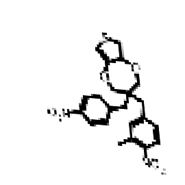 Cc1cc(CC2(CC3C=CC([N+](=O)[O-])=CC3)COC3=CSCC3OC2)ccc1[N+](=O)[O-]